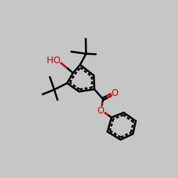 CC(C)(C)c1cc(C(=O)Oc2ccccc2)cc(C(C)(C)C)c1O